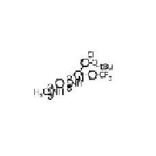 CC(C)(C)COc1cc(-c2ccc(NS(=O)(=O)c3cccc(NS(C)(=O)=O)c3)nc2-c2ccc(C(F)(F)F)cc2)ccc1Cl